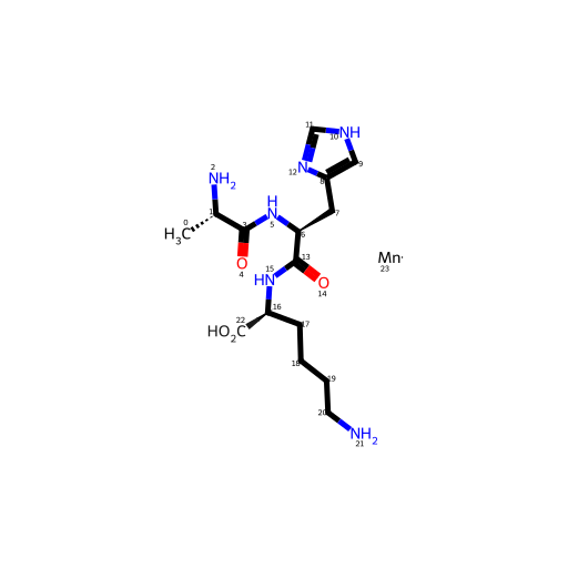 C[C@H](N)C(=O)N[C@@H](Cc1c[nH]cn1)C(=O)N[C@@H](CCCCN)C(=O)O.[Mn]